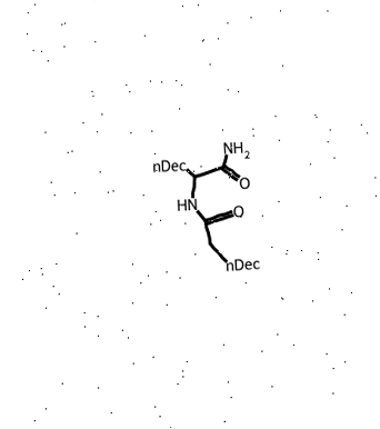 CCCCCCCCCCCC(=O)NC(CCCCCCCCCC)C(N)=O